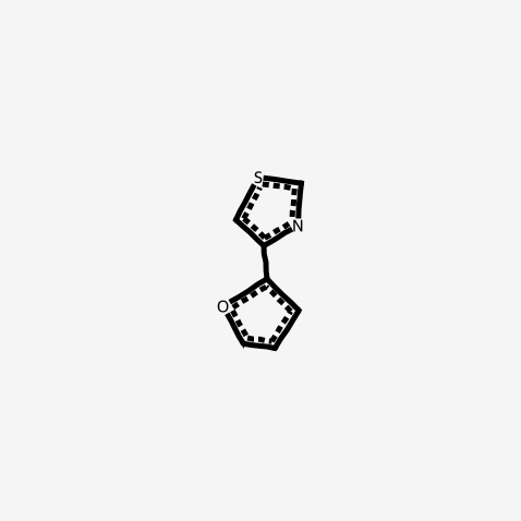 [c]1ccc(-c2cscn2)o1